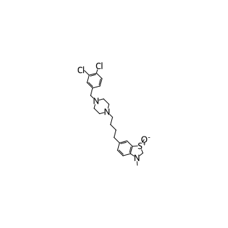 CN1C[S+]([O-])c2cc(CCCCN3CCN(Cc4ccc(Cl)c(Cl)c4)CC3)ccc21